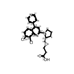 O=C(O)CCOC[C@@H]1CCCN1c1cc(-c2ccncc2)c2ccc(Cl)c(Cl)c2n1